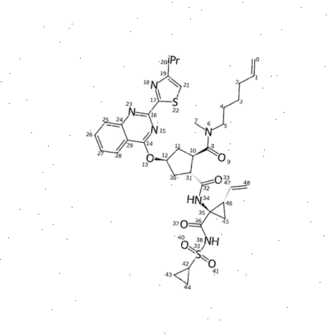 C=CCCCCN(C)C(=O)[C@@H]1C[C@H](Oc2nc(-c3nc(C(C)C)cs3)nc3ccccc23)C[C@H]1C(=O)N[C@]1(C(=O)NS(=O)(=O)C2CC2)C[C@H]1C=C